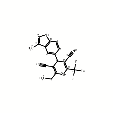 CCC1=C(C#N)C(c2ccc3[nH]nc(C)c3c2)C(C#N)=C(C(F)(F)F)N1